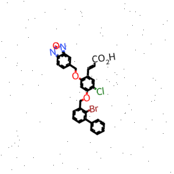 O=C(O)C=Cc1cc(Cl)c(OCc2cccc(-c3ccccc3)c2Br)cc1OCc1ccc2nonc2c1